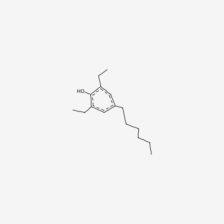 CCCCCCc1cc(CC)c(O)c(CC)c1